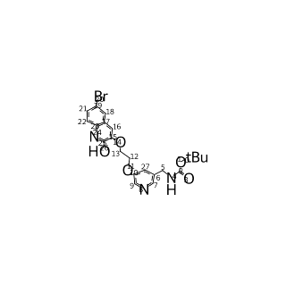 CC(C)(C)OC(=O)NCc1cncc(OCCOc2cc3cc(Br)ccc3nc2O)c1